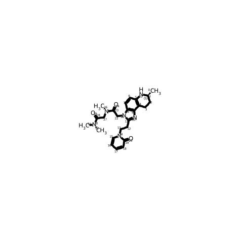 C[C@H]1CCc2c(ccc3c2nc(CCn2ccccc2=O)n3CC(=O)N(C)CC(=O)N(C)C)N1